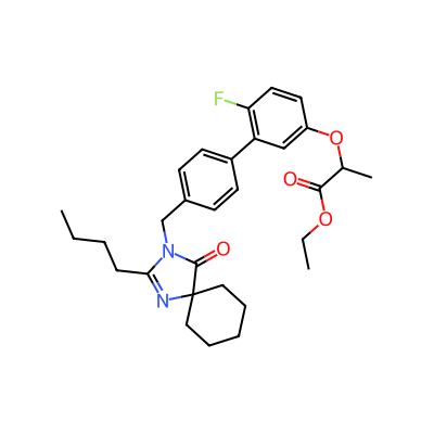 CCCCC1=NC2(CCCCC2)C(=O)N1Cc1ccc(-c2cc(OC(C)C(=O)OCC)ccc2F)cc1